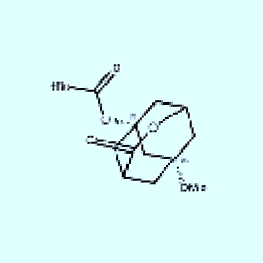 CO[C@]12CC3C[C@](OC(=O)C(C)(C)C)(CC(C1)C(=O)O3)C2